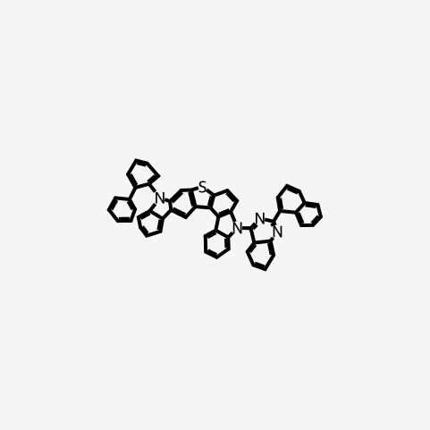 c1ccc(-c2ccccc2-n2c3ccccc3c3cc4c(cc32)sc2ccc3c(c5ccccc5n3-c3nc(-c5cccc6ccccc56)nc5ccccc35)c24)cc1